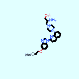 COCCOc1ccc2c(c1)ncn2-c1ccc2cccc(N3CCN(C[C@@H](N)CO)CC3)c2n1